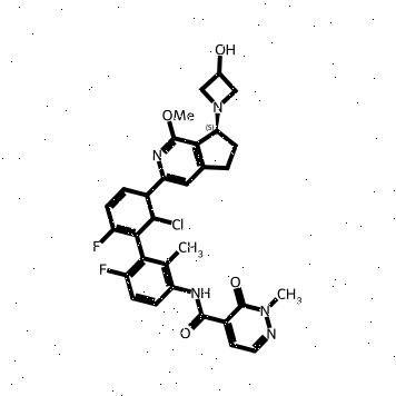 COc1nc(C2C=CC(F)=C(c3c(F)ccc(NC(=O)c4ccnn(C)c4=O)c3C)C2Cl)cc2c1[C@@H](N1CC(O)C1)CC2